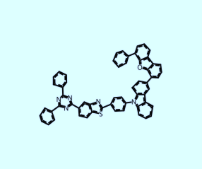 c1ccc(-c2nc(-c3ccccc3)nc(-c3ccc4sc(-c5ccc(-n6c7ccccc7c7cc(-c8cccc9c8oc8c(-c%10ccccc%10)cccc89)ccc76)cc5)nc4c3)n2)cc1